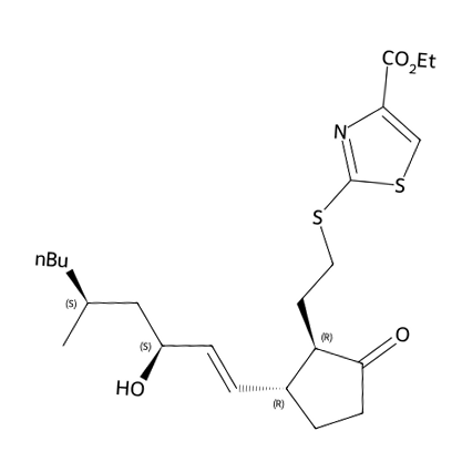 CCCC[C@H](C)C[C@H](O)C=C[C@H]1CCC(=O)[C@@H]1CCSc1nc(C(=O)OCC)cs1